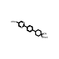 CCCCCCc1cnc(-c2ccc(C3CCC(C#N)(CCCCC)CC3)cc2)nc1